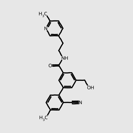 Cc1ccc(-c2cc(CO)cc(C(=O)NCCc3ccc(C)nc3)c2)c(C#N)c1